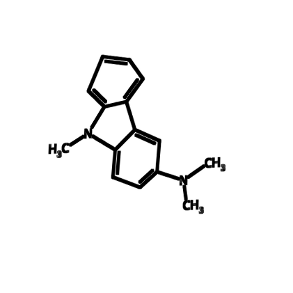 CN(C)c1ccc2c(c1)c1ccccc1n2C